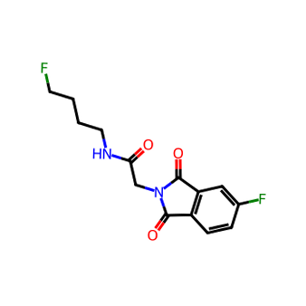 O=C(CN1C(=O)c2ccc(F)cc2C1=O)NCCCCF